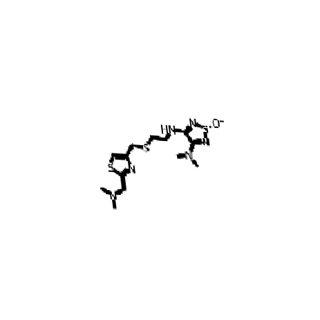 CN(C)Cc1nc(CSCCNc2n[s+]([O-])nc2N(C)C)cs1